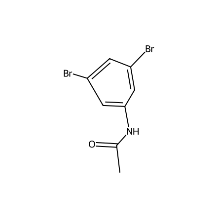 CC(=O)Nc1cc(Br)cc(Br)c1